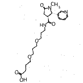 CN1C(=O)C[C@H](C(=O)NCCCOCCCOCCCC(=O)O)[C@H]1c1cccnc1